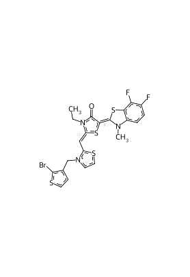 CCn1c(=O)/c(=C2\Sc3c(ccc(F)c3F)N2C)s/c1=C\c1scc[n+]1Cc1ccsc1Br